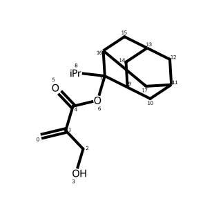 C=C(CO)C(=O)OC1(C(C)C)C2CC3CC(C2)CC1C3